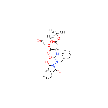 CC(C)(C)OC(=O)C[C@H](NC(=O)N(Cc1ccccc1)N1C(=O)c2ccccc2C1=O)C(=O)OCC=O